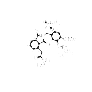 CCC.CCOc1cc([C@@H](CS(C)(=O)=O)N2C(=O)c3cccc(CC(=O)NO)c3C2=O)ccc1OC